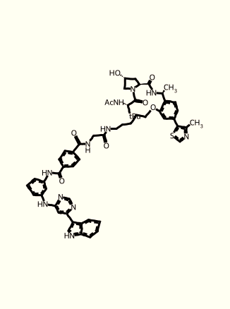 CC(=O)N[C@H](C(=O)N1C[C@H](O)C[C@H]1C(=O)N[C@@H](C)c1ccc(-c2scnc2C)cc1OCCCCCNC(=O)CNC(=O)c1ccc(C(=O)Nc2cccc(Nc3cc(-c4c[nH]c5ccccc45)ncn3)c2)cc1)C(C)(C)C